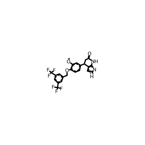 COc1cc(C2CC(=O)Nc3n[nH]cc32)ccc1OCc1cc(C(F)(F)F)cc(C(F)(F)F)c1